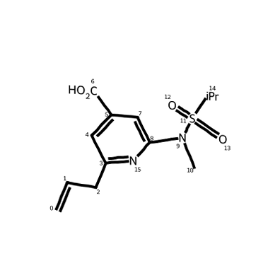 C=CCc1cc(C(=O)O)cc(N(C)S(=O)(=O)C(C)C)n1